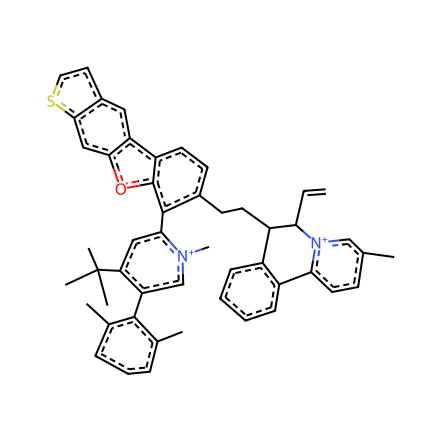 C=CC1C(CCc2ccc3c(oc4cc5sccc5cc43)c2-c2cc(C(C)(C)C)c(-c3c(C)cccc3C)c[n+]2C)c2ccccc2-c2ccc(C)c[n+]21